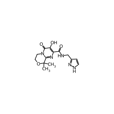 CC1(C)OCCn2c1nc(C(=O)NCc1cc[nH]n1)c(O)c2=O